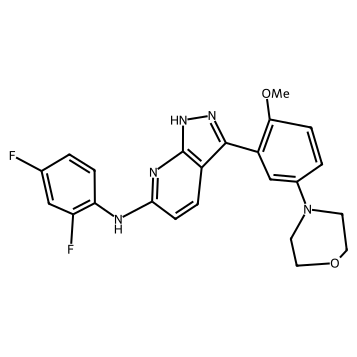 COc1ccc(N2CCOCC2)cc1-c1n[nH]c2nc(Nc3ccc(F)cc3F)ccc12